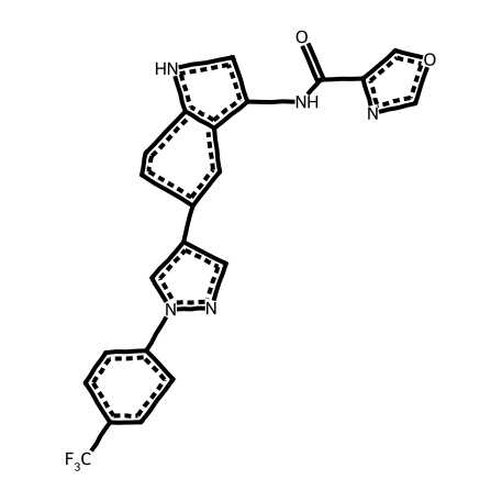 O=C(Nc1c[nH]c2ccc(-c3cnn(-c4ccc(C(F)(F)F)cc4)c3)cc12)c1cocn1